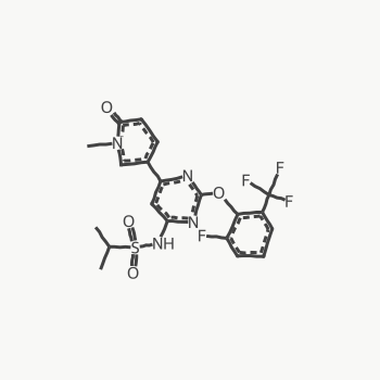 CC(C)S(=O)(=O)Nc1cc(-c2ccc(=O)n(C)c2)nc(Oc2c(F)cccc2C(F)(F)F)n1